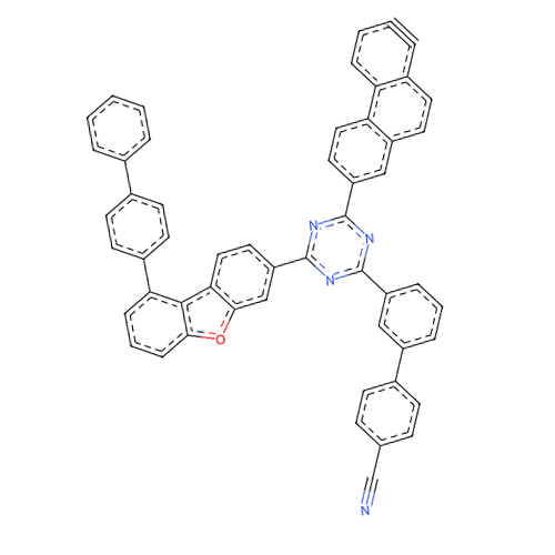 N#Cc1ccc(-c2cccc(-c3nc(-c4ccc5c(ccc6c#cccc65)c4)nc(-c4ccc5c(c4)oc4cccc(-c6ccc(-c7ccccc7)cc6)c45)n3)c2)cc1